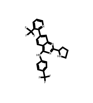 FC(F)(F)c1ccc(Nc2nc(C3CCCN3)nc3cc(-c4ncccc4C(F)(F)F)ccc23)cc1